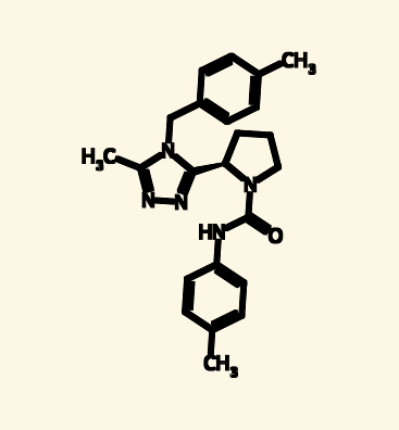 Cc1ccc(Cn2c(C)nnc2[C@H]2CCCN2C(=O)Nc2ccc(C)cc2)cc1